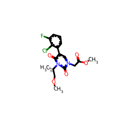 COC[C@H](C)n1c(=O)c(-c2cccc(F)c2Cl)cn(CC(=O)OC)c1=O